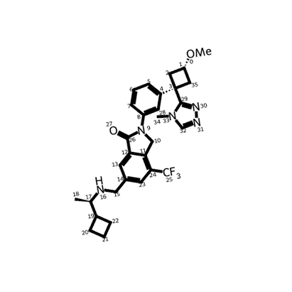 CO[C@H]1C[C@](c2cccc(N3Cc4c(cc(CN[C@H](C)C5CCC5)cc4C(F)(F)F)C3=O)c2)(c2nncn2C)C1